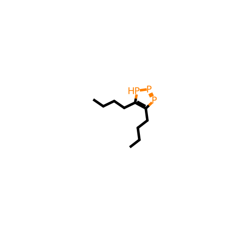 CCCCc1pp[pH]c1CCCC